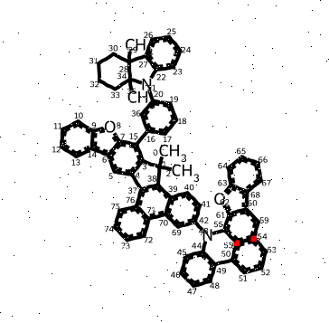 CC1(C)c2c(cc3c(oc4ccccc43)c2-c2cccc(N3c4ccccc4C4(C)CCCCC34C)c2)-c2c1c1ccc(N(c3ccccc3-c3ccccc3)c3cccc4c3oc3ccccc34)cc1c1ccccc21